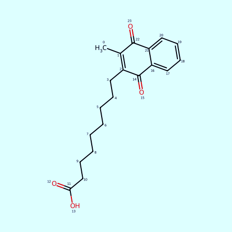 CC1=C(CCCCCCCCC(=O)O)C(=O)c2ccccc2C1=O